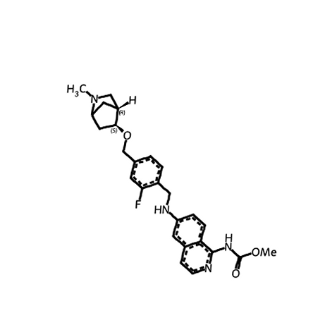 COC(=O)Nc1nccc2cc(NCc3ccc(CO[C@H]4CC5C[C@@H]4CN5C)cc3F)ccc12